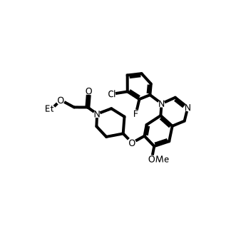 CCOCC(=O)N1CCC(Oc2cc3c(cc2OC)CN=CN3c2cccc(Cl)c2F)CC1